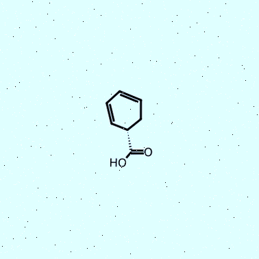 O=C(O)[C@@H]1C=CC=CC1